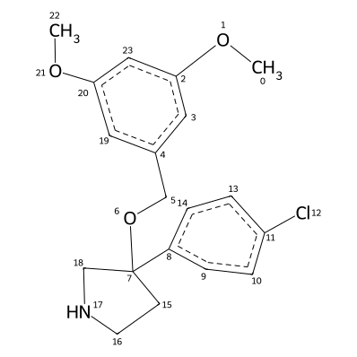 COc1cc(COC2(c3ccc(Cl)cc3)CCNC2)cc(OC)c1